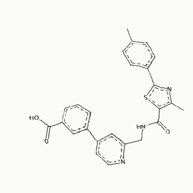 Cc1ccc(-c2nc(C)c(C(=O)NCc3cc(-c4cccc(C(=O)O)c4)ccn3)s2)cc1